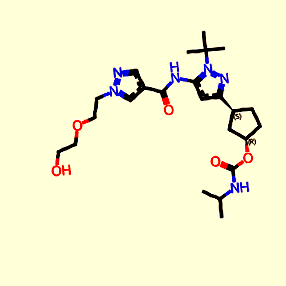 CC(C)NC(=O)O[C@@H]1CC[C@H](c2cc(NC(=O)c3cnn(CCOCCO)c3)n(C(C)(C)C)n2)C1